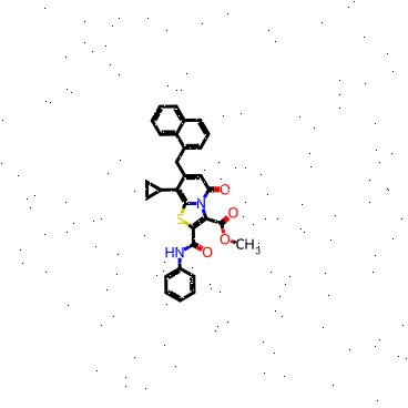 COC(=O)c1c(C(=O)Nc2ccccc2)sc2c(C3CC3)c(Cc3cccc4ccccc34)cc(=O)n12